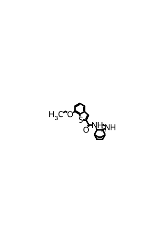 CCOc1cccc2cc(C(=O)NC3C4CCC(CC4)[C@@]34CN4)sc12